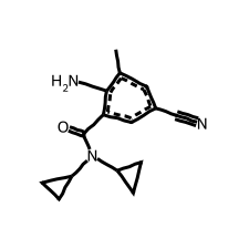 Cc1cc(C#N)cc(C(=O)N(C2CC2)C2CC2)c1N